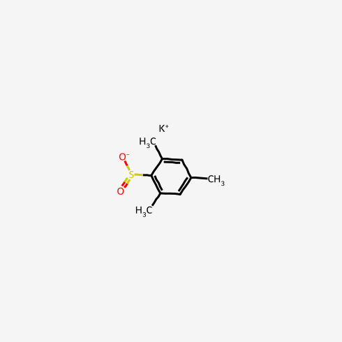 Cc1cc(C)c(S(=O)[O-])c(C)c1.[K+]